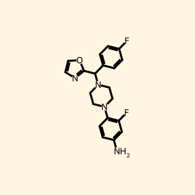 Nc1ccc(N2CCN(C(c3ccc(F)cc3)c3ncco3)CC2)c(F)c1